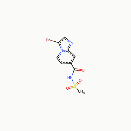 CS(=O)(=O)NC(=O)c1ccn2c(Br)cnc2c1